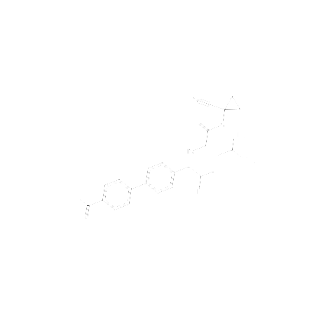 CC(=O)c1ccc(-c2ccc([C@H](N[C@@H](CC(C)C)C(=O)NC3(C#N)CC3)C(F)F)cc2)cc1